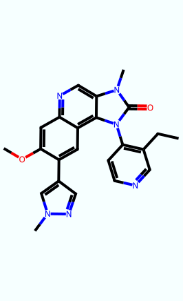 CCc1cnccc1-n1c(=O)n(C)c2cnc3cc(OC)c(-c4cnn(C)c4)cc3c21